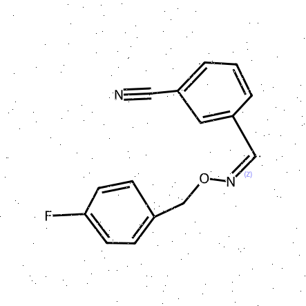 N#Cc1cccc(/[C]=N\OCc2ccc(F)cc2)c1